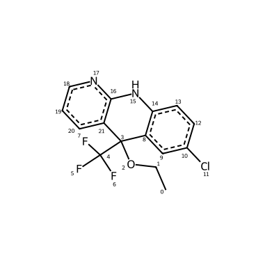 CCOC1(C(F)(F)F)c2cc(Cl)ccc2Nc2ncccc21